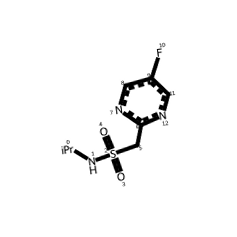 CC(C)NS(=O)(=O)Cc1ncc(F)cn1